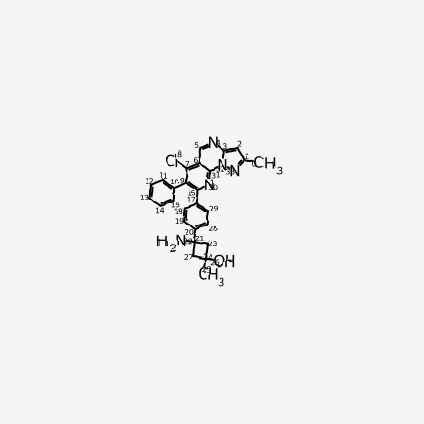 Cc1cc2ncc3c(Cl)c(-c4ccccc4)c(-c4ccc(C5(N)CC(C)(O)C5)cc4)nc3n2n1